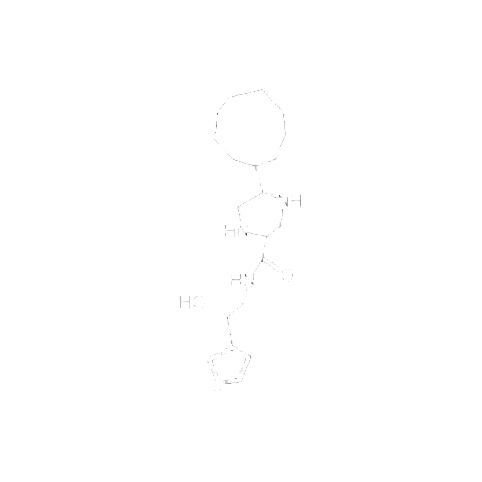 O=C(NC[C@@H](O)c1ccsc1)C1CNC(C2CCCCCCCC2)CN1